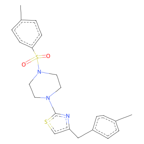 Cc1ccc(Cc2csc(N3CCN(S(=O)(=O)c4ccc(C)cc4)CC3)n2)cc1